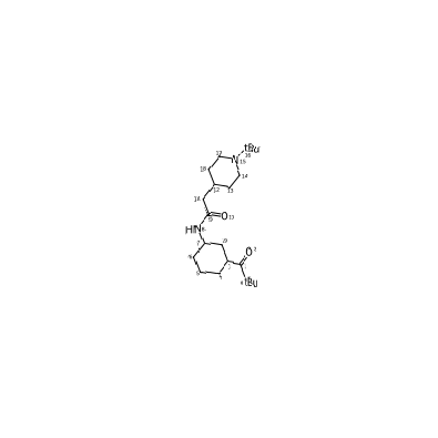 CC(C)(C)C(=O)C1CCCC(NC(=O)CC2CCN(C(C)(C)C)CC2)C1